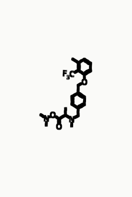 Cc1cccc(OCc2ccc(CN(C)C(C)C(=O)ON(C)C)cc2)c1C(F)(F)F